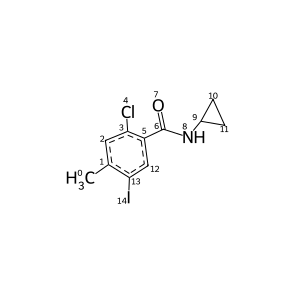 Cc1cc(Cl)c(C(=O)NC2CC2)cc1I